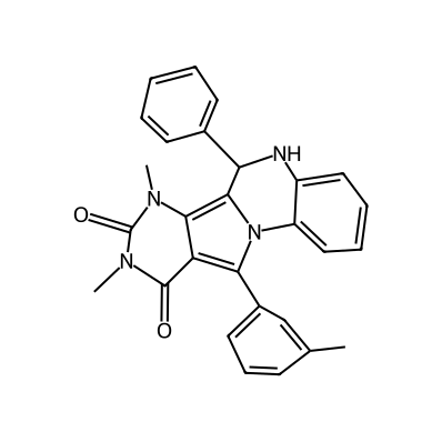 Cc1cccc(-c2c3c(=O)n(C)c(=O)n(C)c3c3n2-c2ccccc2NC3c2ccccc2)c1